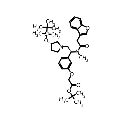 CN(C(=O)Cc1coc2ccccc12)[C@H](CN1CC[C@H](O[Si](C)(C)C(C)(C)C)C1)c1cccc(OCC(=O)OC(C)(C)C)c1